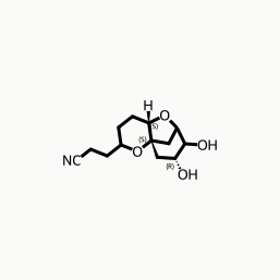 N#CCCC1CC[C@@H]2OC3C[C@]2(C[C@@H](O)C3O)O1